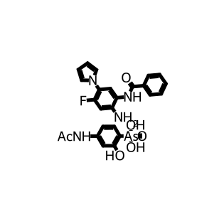 CC(=O)Nc1ccc([As](=O)(O)O)c(O)c1.Nc1cc(F)c(-n2cccc2)cc1NC(=O)c1ccccc1